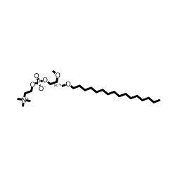 CCCCCCCCCCCCCCCCOC[C@H](COP(=O)([O-])OCC[N+](C)(C)C)OC